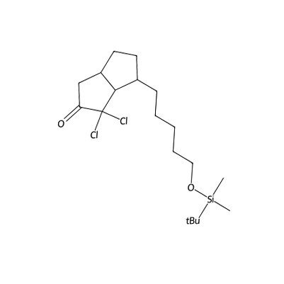 CC(C)(C)[Si](C)(C)OCCCCCC1CCC2CC(=O)C(Cl)(Cl)C12